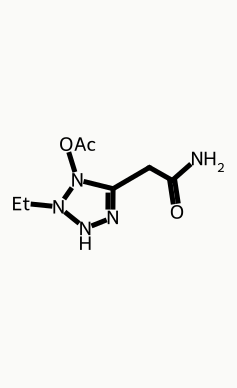 CCN1NN=C(CC(N)=O)N1OC(C)=O